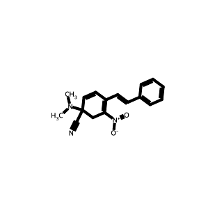 CN(C)C1(C#N)C=CC(C=Cc2ccccc2)=C([N+](=O)[O-])C1